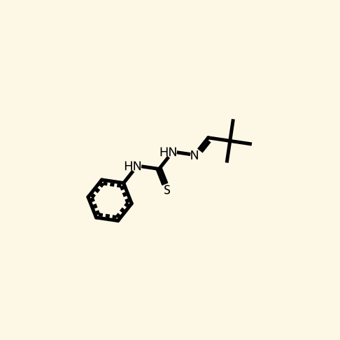 CC(C)(C)/C=N/NC(=S)Nc1ccccc1